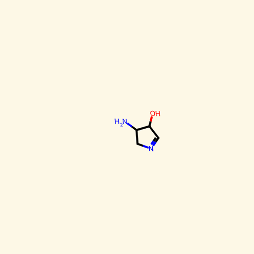 NC1CN=CC1O